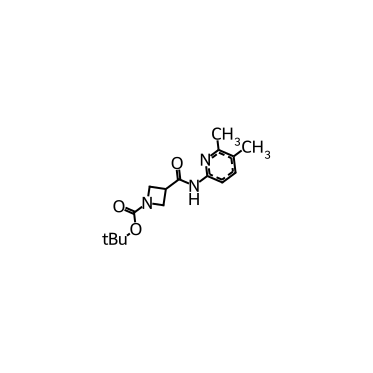 Cc1ccc(NC(=O)C2CN(C(=O)OC(C)(C)C)C2)nc1C